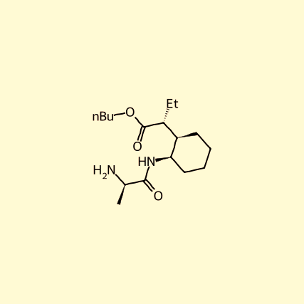 CCCCOC(=O)[C@H](CC)[C@H]1CCCC[C@H]1NC(=O)[C@@H](C)N